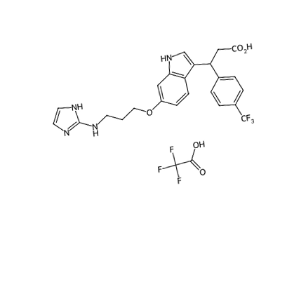 O=C(O)C(F)(F)F.O=C(O)CC(c1ccc(C(F)(F)F)cc1)c1c[nH]c2cc(OCCCNc3ncc[nH]3)ccc12